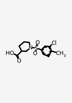 Cc1ccc(S(=O)(=O)N2CCCC(C(=O)O)C2)cc1Cl